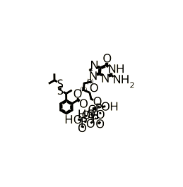 CC(C)SSC(C)c1ccccc1C(=O)O[C@@H]1C[C@H](n2cnc3c(=O)[nH]c(N)nc32)OC1COP(=O)(O)OP(=O)(O)OP(=O)(O)O